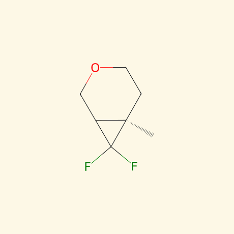 C[C@@]12CCOCC1C2(F)F